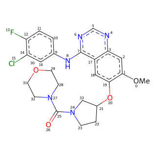 COc1cc2ncnc(Nc3ccc(F)c(Cl)c3)c2cc1OC1CCN(C(=O)N2CCOCC2)C1